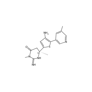 Cc1cncc(-c2sc([C@]3(C)CC(=O)N(C)C(=N)N3)cc2N)c1